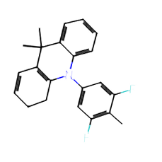 Cc1c(F)cc(N2C3=C(C=CCC3)C(C)(C)c3ccccc32)cc1F